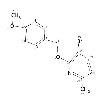 COc1ccc(COc2nc(C)ccc2Br)cc1